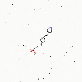 COC(CCCOc1ccc(/C=C/c2ccncc2)cc1)OC